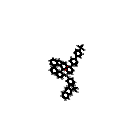 CC(C)(C)c1ccc(-c2ccc(-c3ccc(N(c4ccc5c(c4)-c4cc6ccccc6cc4C5(C)C)c4ccc5ccccc5c4-c4cccc5sc6ccccc6c45)cc3)cc2)cc1